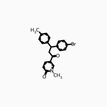 Cc1ccc(C(CC(=O)c2ccc(=O)n(C)c2)c2ccc(Br)cc2)cc1